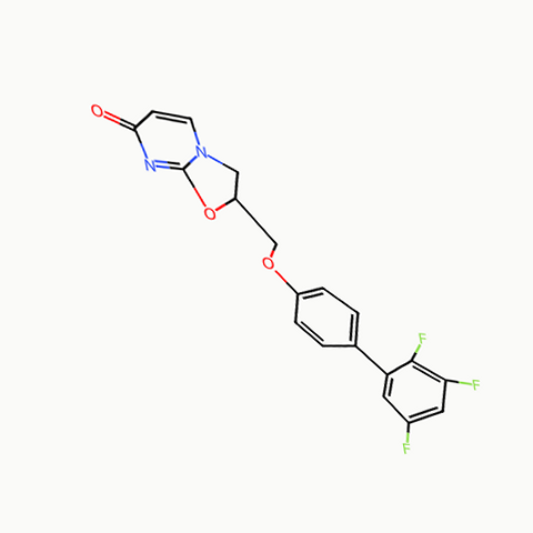 O=c1ccn2c(n1)OC(COc1ccc(-c3cc(F)cc(F)c3F)cc1)C2